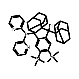 C[Si](C)(C)c1cc(CP(c2ccccn2)c2ccccn2)c(C(P)(C23CC4CC(CC(C4)C2)C3)C23CC4CC(CC(C4)C2)C3)cc1[Si](C)(C)C